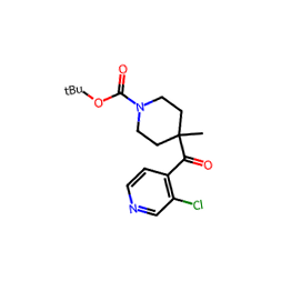 CC(C)(C)OC(=O)N1CCC(C)(C(=O)c2ccncc2Cl)CC1